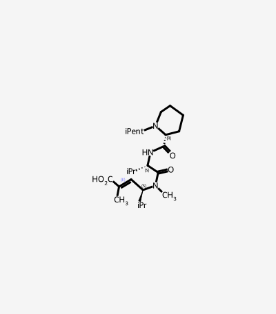 CCCC(C)N1CCCC[C@@H]1C(=O)N[C@H](C(=O)N(C)[C@H](/C=C(\C)C(=O)O)C(C)C)C(C)C